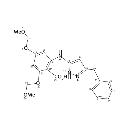 COCOc1cc(Nc2cc(Cc3ccccc3)n[nH]2)c(C(=O)O)c(OCOC)c1